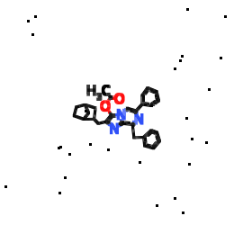 CC(=O)Oc1c(CC2CC3CCC2C3)nc2c(Cc3ccccc3)nc(-c3ccccc3)cn12